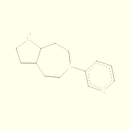 c1cncc(N2CCC3CCNC3CC2)c1